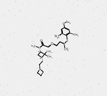 COc1cc(C)c(SN(C)CCOCC(=O)N(C)[C@H]2C[C@@H](CCN3CCC3)C2(C)C)c(C)c1